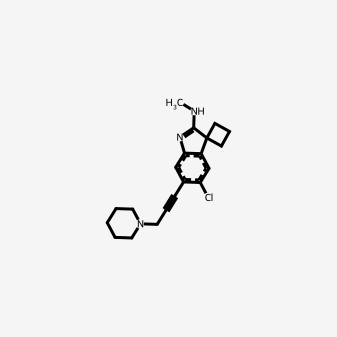 CNC1=Nc2cc(C#CCN3CCCCC3)c(Cl)cc2C12CCC2